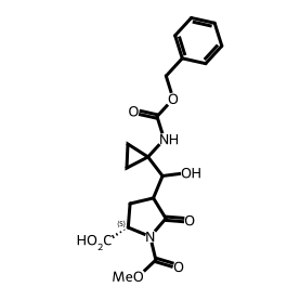 COC(=O)N1C(=O)C(C(O)C2(NC(=O)OCc3ccccc3)CC2)C[C@H]1C(=O)O